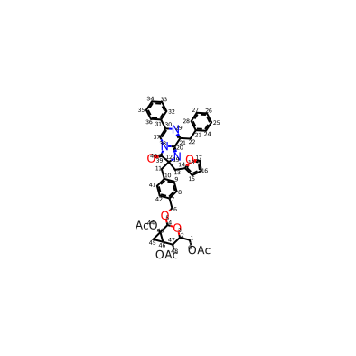 CC(=O)OCC1OC(OCc2ccc(CC3(Cc4ccco4)N=C4C(Cc5ccccc5)=NC(c5ccccc5)=CN4C3=O)cc2)C2(OC(C)=O)CC2C1OC(C)=O